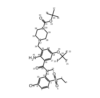 CCS(=O)(=O)c1ccc(Cl)cc1N(C)C(=O)c1cc(OC(F)(F)F)cc(CN2CCN(C(=O)OC(C)(C)C)CC2)c1N